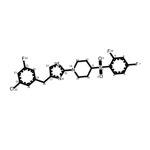 O=S(=O)(c1ccc(F)cc1F)C1CCN(c2nc(Cc3cc(F)cc(Cl)c3)cs2)CC1